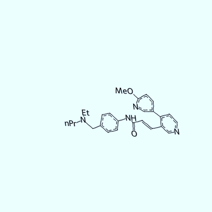 CCCN(CC)Cc1ccc(NC(=O)/C=C/c2cnccc2-c2ccc(OC)nc2)cc1